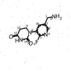 NCc1cnc(F)c(N2CCC(=O)NC2=O)c1